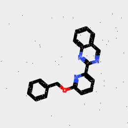 c1ccc(COc2cccc(-c3ncc4ccccc4n3)n2)cc1